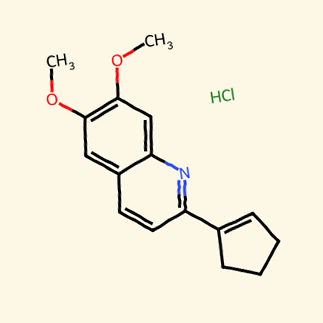 COc1cc2ccc(C3=CCCC3)nc2cc1OC.Cl